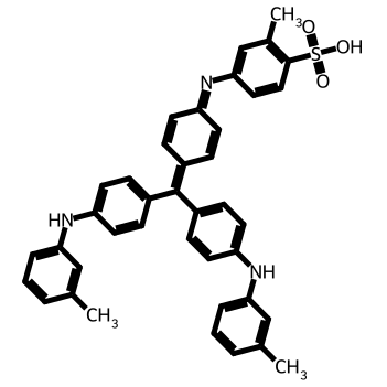 Cc1cccc(Nc2ccc(C(=C3C=CC(=Nc4ccc(S(=O)(=O)O)c(C)c4)C=C3)c3ccc(Nc4cccc(C)c4)cc3)cc2)c1